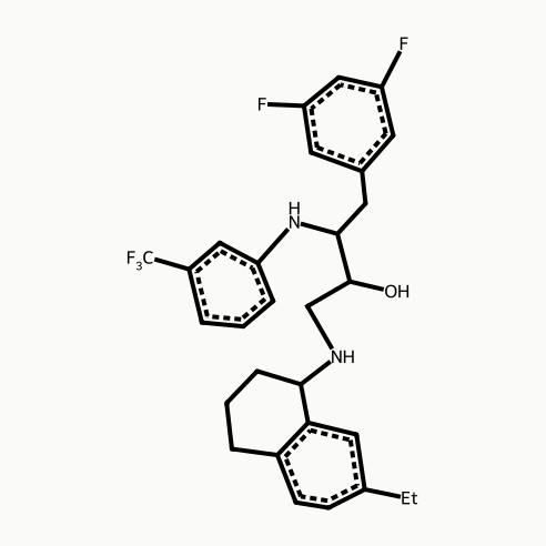 CCc1ccc2c(c1)C(NCC(O)C(Cc1cc(F)cc(F)c1)Nc1cccc(C(F)(F)F)c1)CCC2